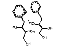 OCC(O)C(O)Cc1ccccc1.OCC(O)C(O)Cc1ccccc1